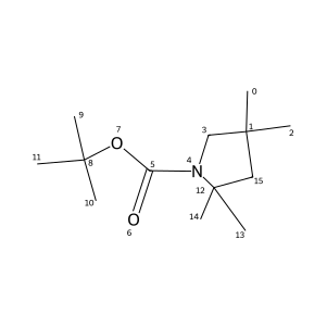 CC1(C)CN(C(=O)OC(C)(C)C)C(C)(C)C1